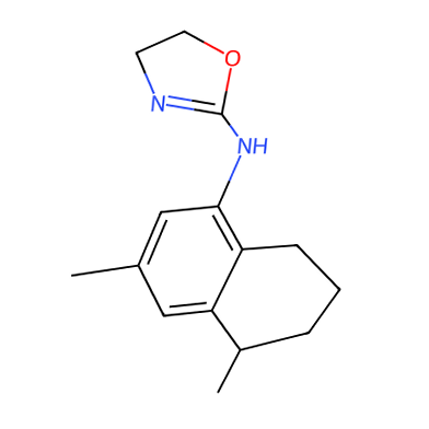 Cc1cc(NC2=NCCO2)c2c(c1)C(C)CCC2